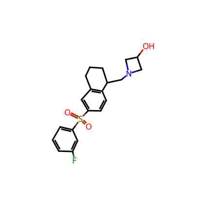 O=S(=O)(c1cccc(F)c1)c1ccc2c(c1)CCCC2CN1CC(O)C1